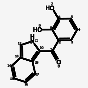 O=C(c1cccc(O)c1O)c1[nH]cc2ccccc12